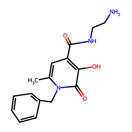 Cc1cc(C(=O)NCCN)c(O)c(=O)n1Cc1ccccc1